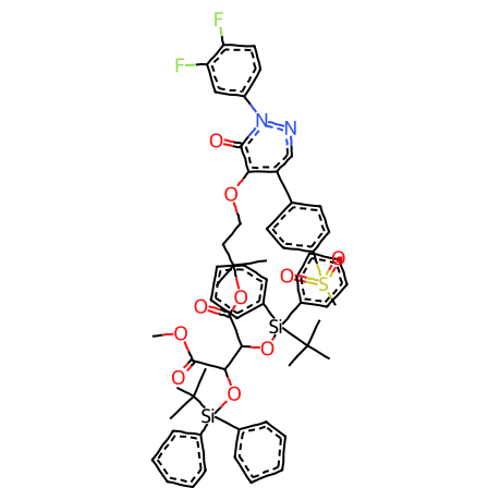 COC(=O)C(O[Si](c1ccccc1)(c1ccccc1)C(C)(C)C)C(O[Si](c1ccccc1)(c1ccccc1)C(C)(C)C)C(=O)OC(C)(C)CCOc1c(-c2ccc(S(C)(=O)=O)cc2)cnn(-c2ccc(F)c(F)c2)c1=O